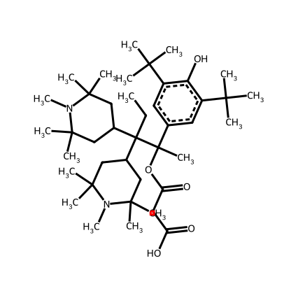 CCC(C1CC(C)(C)N(C)C(C)(C)C1)(C1CC(C)(C)N(C)C(C)(C)C1)C(C)(OC(=O)CC(=O)O)c1cc(C(C)(C)C)c(O)c(C(C)(C)C)c1